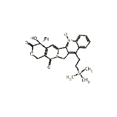 CC[C@@]1(O)C(=O)OCc2c1cc1n(c2=O)Cc2c(CC[Si](C)(C)C)c3ccccc3[n+]([O-])c2-1